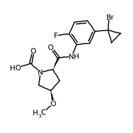 CO[C@@H]1C[C@H](C(=O)Nc2cc(C3(Br)CC3)ccc2F)N(C(=O)O)C1